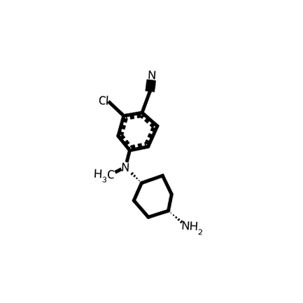 CN(c1ccc(C#N)c(Cl)c1)[C@H]1CC[C@@H](N)CC1